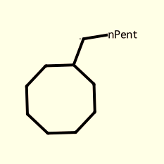 [CH2]CCCC[CH]C1CCCCCCC1